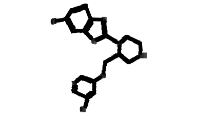 Clc1cncc(OCC2CNCCN2c2nc3ccc(Cl)cc3o2)c1